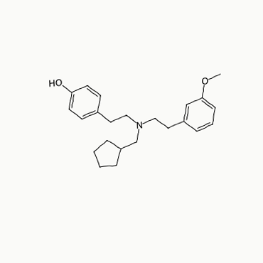 COc1cccc(CCN(CCc2ccc(O)cc2)CC2CCCC2)c1